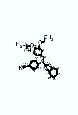 CCOc1cc(CN(c2ccc(C#N)cc2)c2nc3ccccc3s2)ccc1OC(C)C